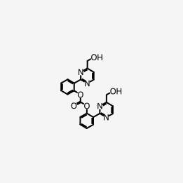 O=C(Oc1ccccc1-c1nccc(CO)n1)Oc1ccccc1-c1nccc(CO)n1